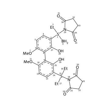 BS(CC)(c1ccc(OC)c(-c2c(OC)ccc(S(CC)(CC)N3C(=O)CCC3=O)c2O)c1O)N1C(=O)CCC1=O